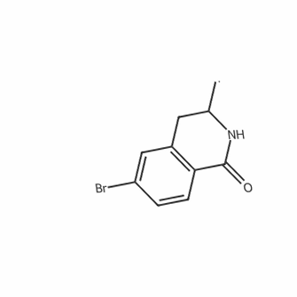 [CH2]C1Cc2cc(Br)ccc2C(=O)N1